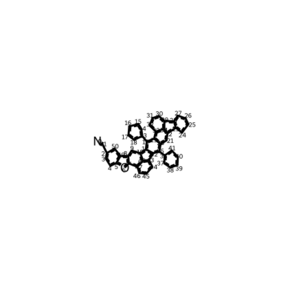 N#Cc1ccc2oc3c(cc4c5c(-c6ccccc6)c6c(cc7c8ccccc8c8cccc6c87)c(-c6ccccc6)c5c5cccc3c54)c2c1